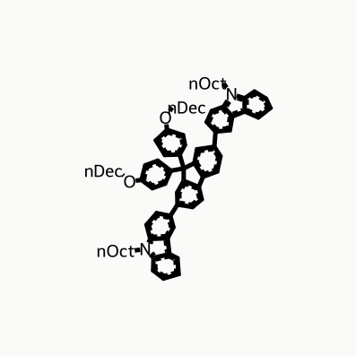 CCCCCCCCCCOc1ccc(C2(c3ccc(OCCCCCCCCCC)cc3)c3cc(-c4ccc5c(c4)c4ccccc4n5CCCCCCCC)ccc3-c3ccc(-c4ccc5c(c4)c4ccccc4n5CCCCCCCC)cc32)cc1